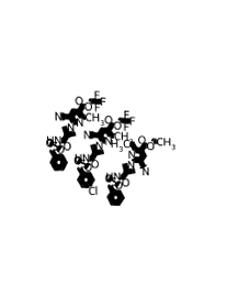 CCOC(=O)c1cc(C#N)c(N2CC(C(=O)NS(=O)(=O)Cc3ccccc3)C2)nc1CC.Cc1nc(N2CC(C(=O)NS(=O)(=O)Cc3ccc(Cl)cc3)C2)c(C#N)cc1C(=O)OCC(F)(F)F.Cc1nc(N2CC(C(=O)NS(=O)(=O)Cc3ccccc3)C2)c(C#N)cc1C(=O)OCC(F)(F)F